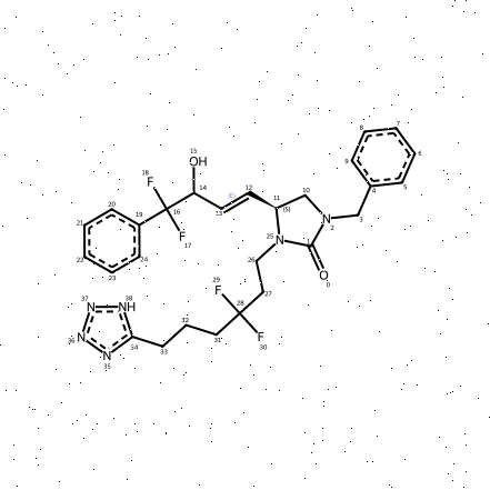 O=C1N(Cc2ccccc2)C[C@H](/C=C/C(O)C(F)(F)c2ccccc2)N1CCC(F)(F)CCCc1nnn[nH]1